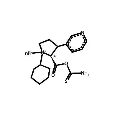 CCC[N+]1(C2CCCCC2)CCC(c2cccnc2)[C@H]1C(=O)OC(N)=S